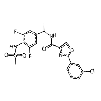 CC(NC(=O)c1coc(-c2cccc(Cl)c2)n1)c1cc(F)c(NS(C)(=O)=O)c(F)c1